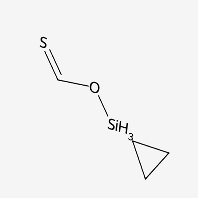 C1CC1.[SiH3]OC=S